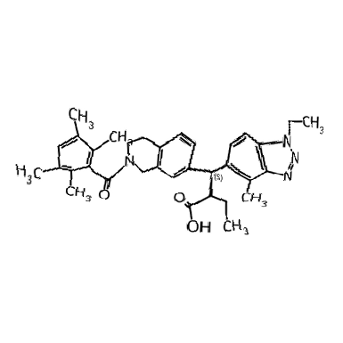 CCC(C(=O)O)[C@@H](c1ccc2c(c1)CN(C(=O)c1c(C)c(C)cc(C)c1C)CC2)c1ccc2c(nnn2CC)c1C